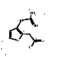 N=C(N)Nc1ccsc1CC(=O)Cl